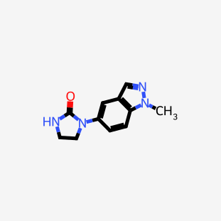 Cn1ncc2cc(N3CCNC3=O)ccc21